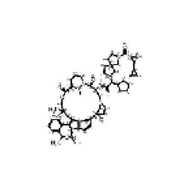 CO[C@@H](C)c1ncccc1-c1c2c3cc(ccc3n1CC(F)(F)F)[C@@H]1CCN(C1)C[C@H](NC(=O)C(C1CCCC1)N1CC[C@]3(CCN(C(=O)[C@@H]4NC4C4CC4)C3)C1)C(=O)N1CCC[C@H](N1)C(=O)OCC(C)(C)C2